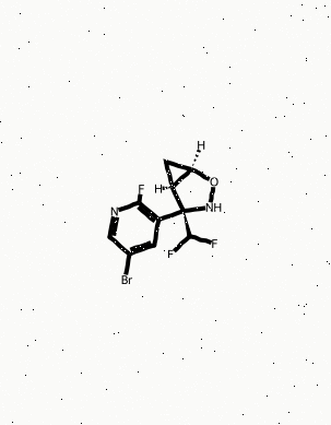 Fc1ncc(Br)cc1[C@@]1(C(F)F)NO[C@@H]2C[C@@H]21